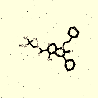 CC(C)(CNC(=O)c1ncc2c(cc(-c3ccccc3)c(=O)n2CCc2ccccc2)c1O)C(=O)O